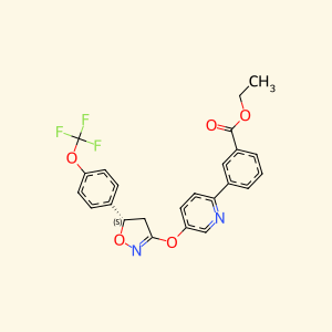 CCOC(=O)c1cccc(-c2ccc(OC3=NO[C@H](c4ccc(OC(F)(F)F)cc4)C3)cn2)c1